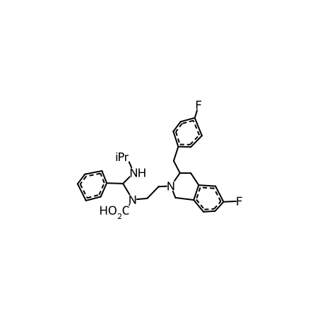 CC(C)NC(c1ccccc1)N(CCN1Cc2ccc(F)cc2CC1Cc1ccc(F)cc1)C(=O)O